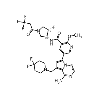 COc1ncc(-c2cc(CN3CCC(F)(F)CC3)c3c(N)ncnn23)cc1C(=O)N[C@@H]1CN(C(=O)CC(F)(F)F)C[C@@H]1F